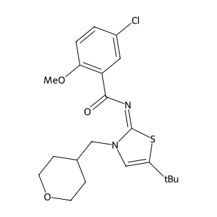 COc1ccc(Cl)cc1C(=O)N=c1sc(C(C)(C)C)cn1CC1CCOCC1